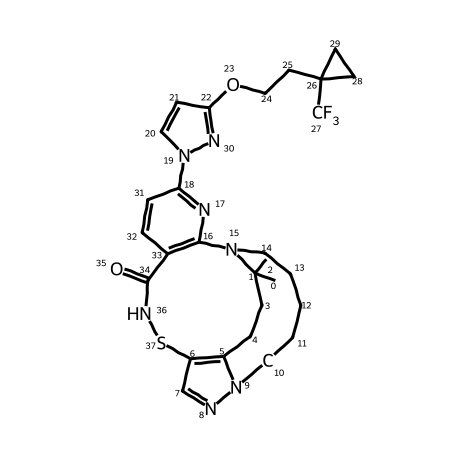 CC1(C)CCc2c3cnn2CCCCCN1c1nc(-n2ccc(OCCC4(C(F)(F)F)CC4)n2)ccc1C(=O)NS3